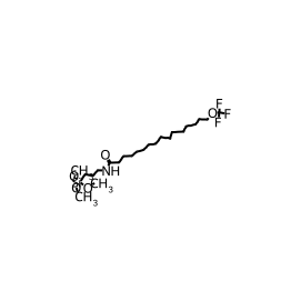 CO[Si](CCCNC(=O)CCCCCCCCCCCCCCCOC(F)(F)F)(OC)OC